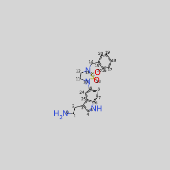 NCCc1c[nH]c2ccc(N3CCN(Cc4ccccc4)S3(=O)=O)cc12